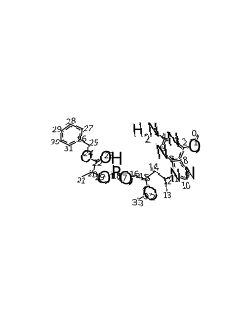 COc1nc(N)nc2c1ncn2C(C)CC(COPOC(C)C(=O)OCc1ccccc1)OC